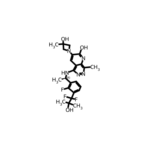 Cc1nnc(N[C@H](C)c2cccc(C(F)(F)C(C)(C)O)c2F)c2cc(N3CC(C)(O)C3)c(O)nc12